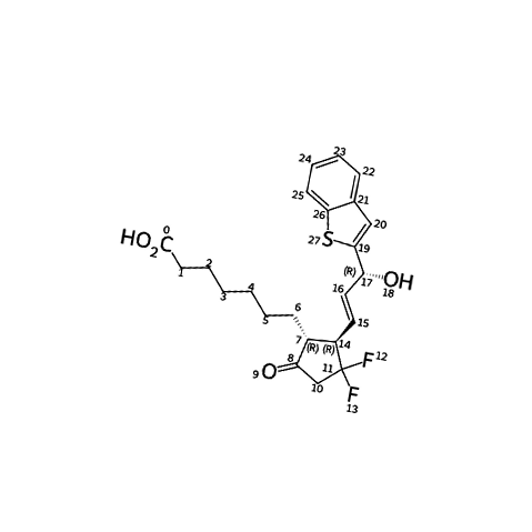 O=C(O)CCCCCC[C@H]1C(=O)CC(F)(F)[C@@H]1C=C[C@@H](O)c1cc2ccccc2s1